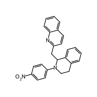 O=[N+]([O-])c1ccc(N2CCc3ccccc3C2Cc2ccc3ccccc3n2)cc1